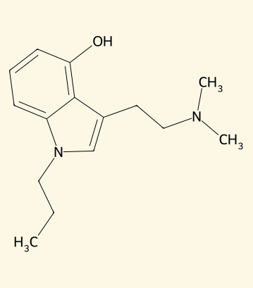 CCCn1cc(CCN(C)C)c2c(O)cccc21